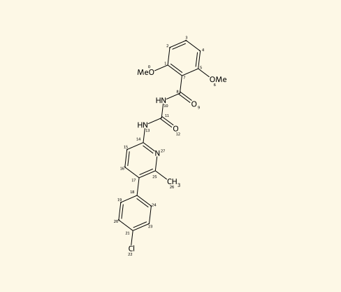 COc1cccc(OC)c1C(=O)NC(=O)Nc1ccc(-c2ccc(Cl)cc2)c(C)n1